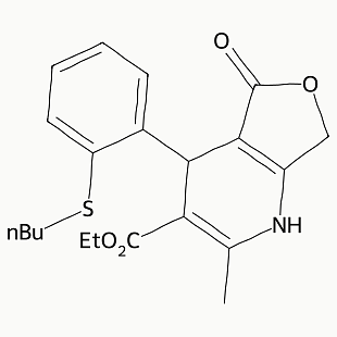 CCCCSc1ccccc1C1C(C(=O)OCC)=C(C)NC2=C1C(=O)OC2